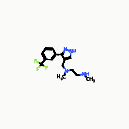 CNCCN(C)Cc1c[nH]nc1-c1cccc(C(F)(F)F)c1